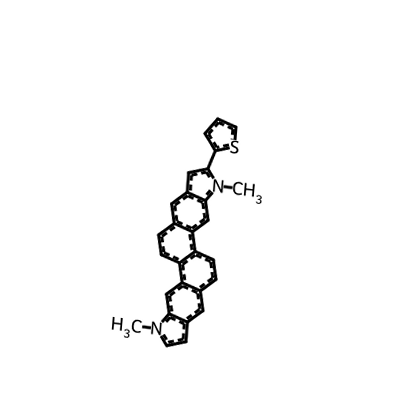 Cn1ccc2cc3ccc4c5cc6c(cc(-c7cccs7)n6C)cc5ccc4c3cc21